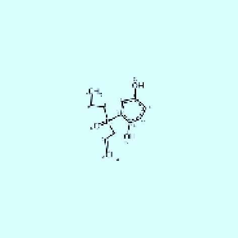 C=CCP(=O)(CC=C)c1cc(O)ccc1O